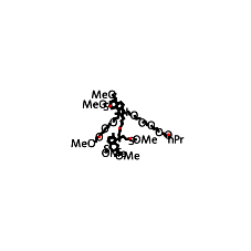 CCCOCCOCCOCCOCCOCCN1/C(=C/C=C/C=C/CC(C)(CCCSOC)c2c(C)ccc3c2CC(SOC)CC3SOC)C(C)(CCOCCOCCOCCOC)c2c1ccc1c(SOC)cc(SOC)cc21